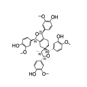 COc1ccc([C@@H]2O[C@H](c3ccc(O)c(OC)c3)[C@H](C)[C@@]23CCC2=C(C3)[C@@H](c3ccc(O)c(OC)c3)O[C@H]2c2ccc(O)c(OC)c2)cc1O